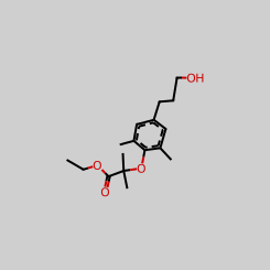 CCOC(=O)C(C)(C)Oc1c(C)cc(CCCO)cc1C